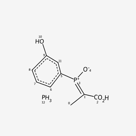 C/C(C(=O)O)=[P+](/[O-])c1cccc(O)c1.P